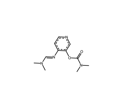 CN(C)C=Nc1ccncc1OC(=O)N(C)C